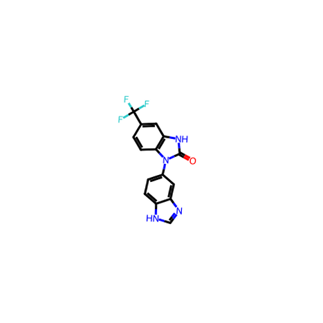 O=c1[nH]c2cc(C(F)(F)F)ccc2n1-c1ccc2[nH]cnc2c1